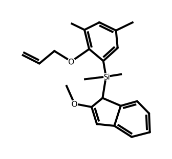 C=CCOc1c(C)cc(C)cc1[Si](C)(C)C1C(OC)=Cc2ccccc21